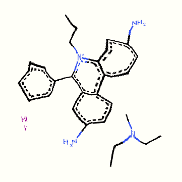 CCC[n+]1c(-c2ccccc2)c2cc(N)ccc2c2ccc(N)cc21.CCN(C)CC.I.[I-]